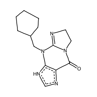 O=C1c2nc[nH]c2N(CC2CCCCC2)C2=NCCN12